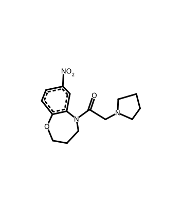 O=C(CN1CCCC1)N1CCCOc2ccc([N+](=O)[O-])cc21